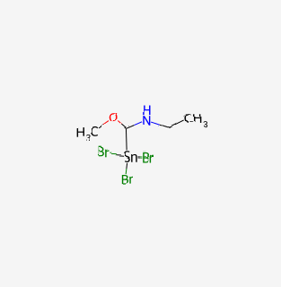 CCN[CH](OC)[Sn]([Br])([Br])[Br]